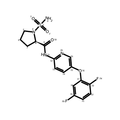 NS(=O)(=O)N1CCC[C@@H]1C(=O)Nc1ccc(Oc2cc(F)ccc2F)cn1